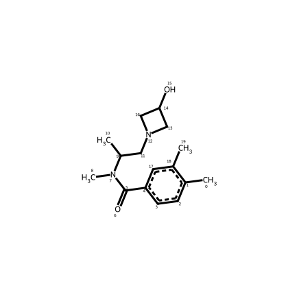 Cc1ccc(C(=O)N(C)C(C)CN2CC(O)C2)cc1C